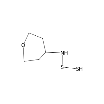 SSNC1CCOCC1